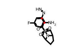 N=N/C=C(\N)C(=O)N1CC2CCC(C1)N2S(=O)(=O)c1cccc(F)c1